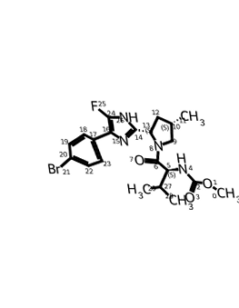 COC(=O)N[C@H](C(=O)N1C[C@@H](C)C[C@H]1c1nc(-c2ccc(Br)cc2)c(F)[nH]1)C(C)C